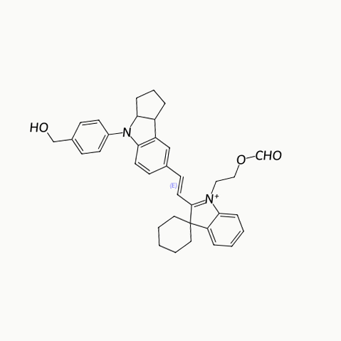 O=COCC[N+]1=C(/C=C/c2ccc3c(c2)C2CCCC2N3c2ccc(CO)cc2)C2(CCCCC2)c2ccccc21